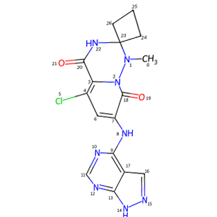 CN1n2c(c(Cl)cc(Nc3ncnc4[nH]ncc34)c2=O)C(=O)NC12CCC2